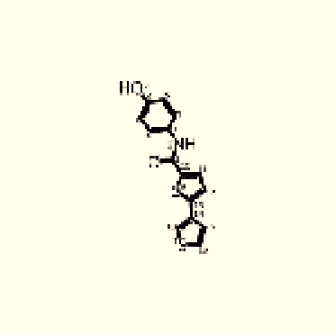 O=C(Nc1ccc(O)cc1)c1ccc(-c2ccsc2)s1